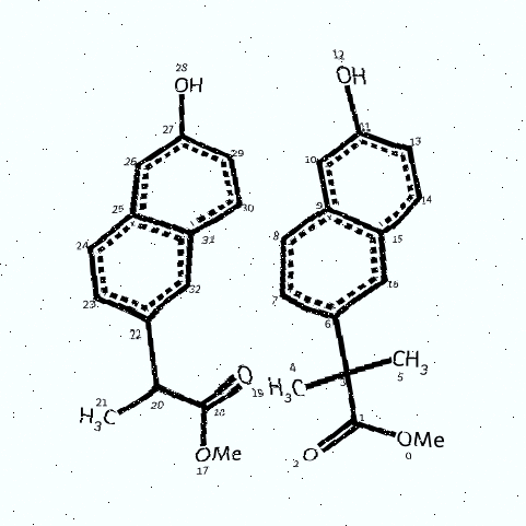 COC(=O)C(C)(C)c1ccc2cc(O)ccc2c1.COC(=O)C(C)c1ccc2cc(O)ccc2c1